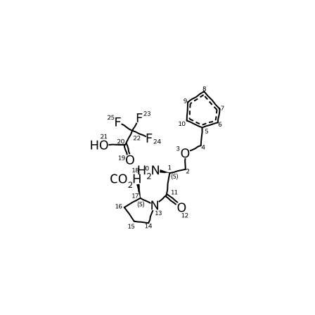 N[C@@H](COCc1ccccc1)C(=O)N1CCC[C@H]1C(=O)O.O=C(O)C(F)(F)F